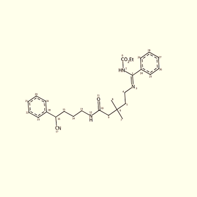 CCOC(=O)NC(=NCCC(C)(C)CC(=O)NCCCC(C#N)c1ccccc1)c1ccccc1